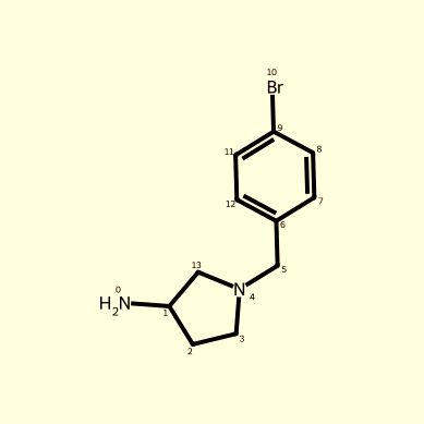 NC1CCN(Cc2ccc(Br)cc2)C1